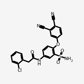 N#Cc1ccc(Oc2ccc(NC(=O)Cc3ccccc3Cl)cc2S(N)(=O)=O)cc1C#N